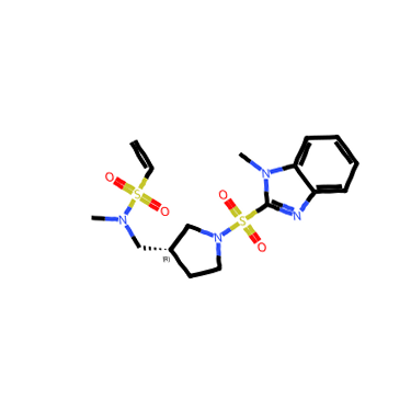 C=CS(=O)(=O)N(C)C[C@H]1CCN(S(=O)(=O)c2nc3ccccc3n2C)C1